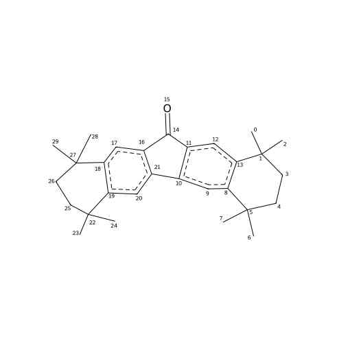 CC1(C)CCC(C)(C)c2cc3c(cc21)C(=O)c1cc2c(cc1-3)C(C)(C)CCC2(C)C